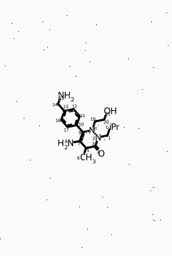 CC(C)CN1C(=O)C(C)C(N)=C(c2ccc(CN)cc2)N1CCO